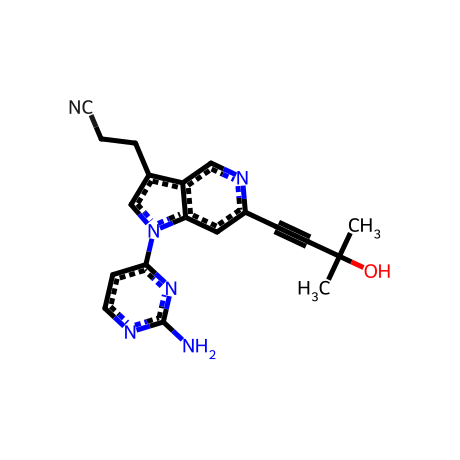 CC(C)(O)C#Cc1cc2c(cn1)c(CCC#N)cn2-c1ccnc(N)n1